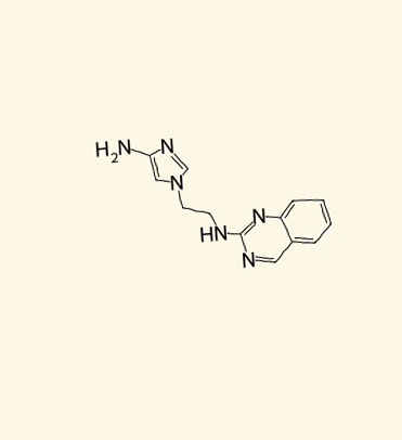 Nc1cn(CCNc2ncc3ccccc3n2)cn1